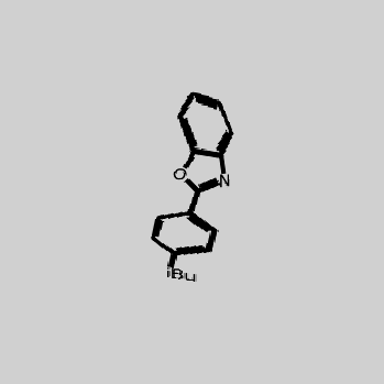 CCC(C)c1ccc(-c2nc3ccccc3o2)cc1